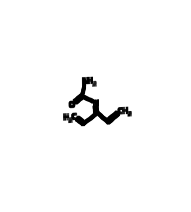 C=CC(C=C)=NC(N)=O